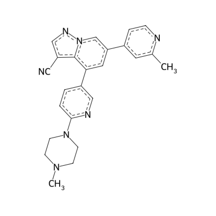 Cc1cc(-c2cc(-c3ccc(N4CCN(C)CC4)nc3)c3c(C#N)cnn3c2)ccn1